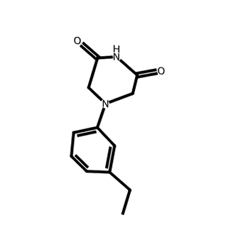 CCc1cccc(N2CC(=O)NC(=O)C2)c1